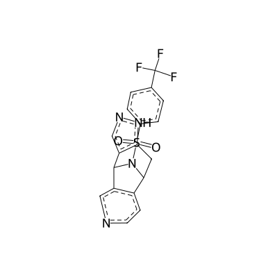 O=S(=O)(c1ccc(C(F)(F)F)cc1)N1C2Cc3[nH]ncc3C1c1cnccc12